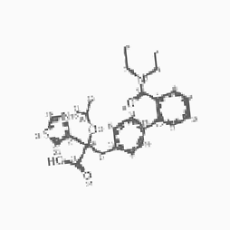 CCN(CC)C(=O)c1ccccc1-c1ccc(CC(OC(C)C)(C(=O)O)c2cscn2)cc1